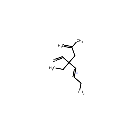 C=C(C)CC(C=O)(/C=C/CC)CC